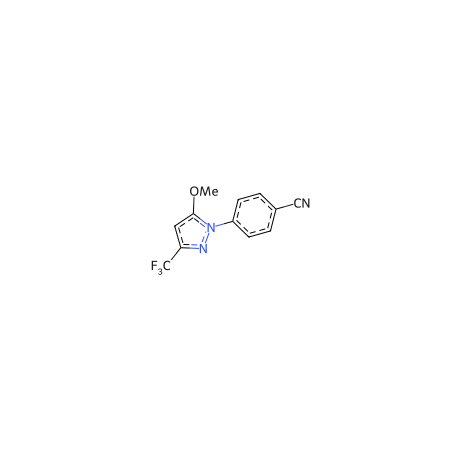 COc1cc(C(F)(F)F)nn1-c1ccc(C#N)cc1